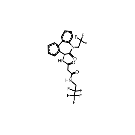 O=C(CC(=O)N[C@@H]1C(=O)N(CC(F)(F)F)c2ccccc2-c2ccccc21)NCC(F)(F)C(F)(F)F